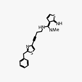 CN/C(NCCC#Cc1csc(Cc2ccccc2)n1)=C1/C=CSC1=N